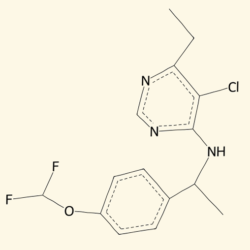 CCc1ncnc(NC(C)c2ccc(OC(F)F)cc2)c1Cl